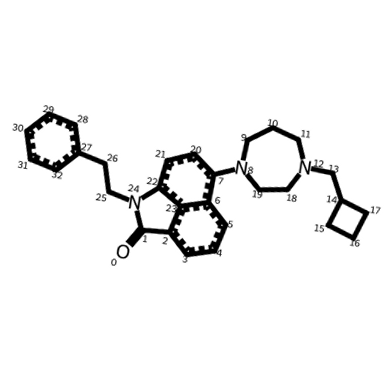 O=C1c2cccc3c(N4CCCN(CC5CCC5)CC4)ccc(c23)N1CCc1ccccc1